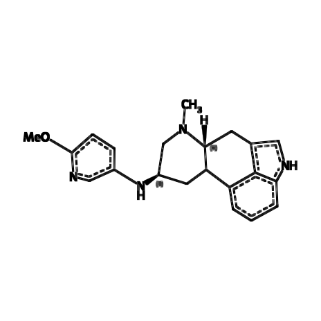 COc1ccc(N[C@@H]2CC3c4cccc5[nH]cc(c45)C[C@H]3N(C)C2)cn1